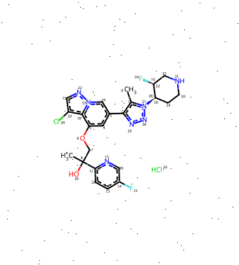 Cc1c(-c2cc(OCC(C)(O)c3ccc(F)cn3)c3c(Cl)cnn3c2)nnn1[C@@H]1CCNC[C@@H]1F.Cl